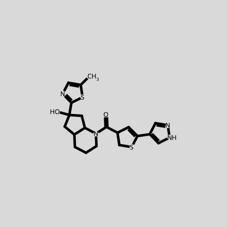 Cc1cnc(C2(O)CC3CCCN(C(=O)C4C=C(c5cn[nH]c5)SC4)C3C2)s1